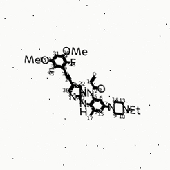 C=CC(=O)Nc1cc(N2CCN(CC)CC2)cc(C)c1Nc1ncc(C#Cc2c(F)c(OC)cc(OC)c2F)cn1